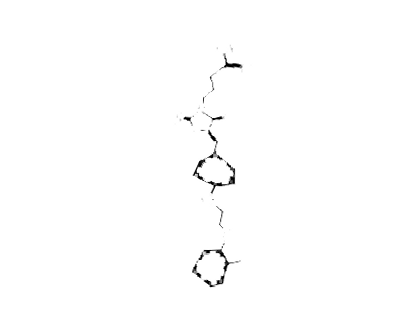 Cc1ccccc1OCCOc1ccc(/C=C2\SC(=S)N(CCCC(=O)O)C2=O)cc1